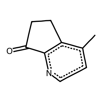 Cc1ccnc2c1CCC2=O